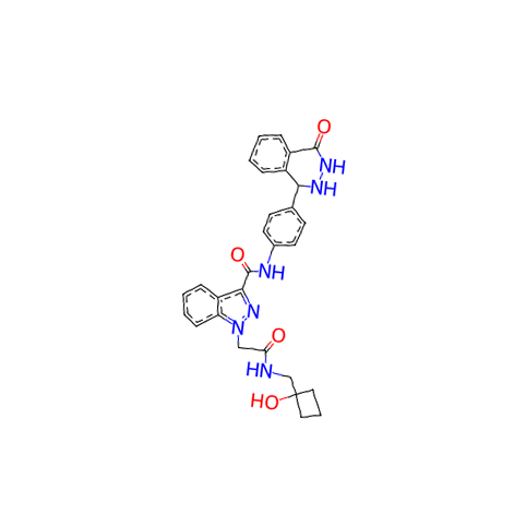 O=C(Cn1nc(C(=O)Nc2ccc(C3NNC(=O)c4ccccc43)cc2)c2ccccc21)NCC1(O)CCC1